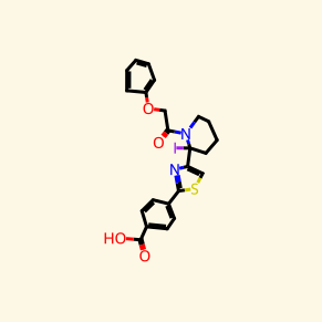 O=C(O)c1ccc(-c2nc(C3(I)CCCCN3C(=O)COc3ccccc3)cs2)cc1